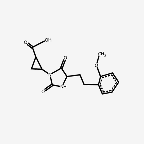 COc1ccccc1CCC1NC(=O)N(C2CC2C(=O)O)C1=O